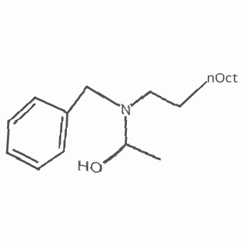 CCCCCCCCCCN(Cc1ccccc1)C(C)O